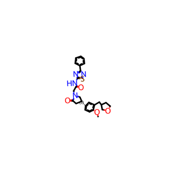 COc1ccc([C@@H]2CC(=O)N(CC(=O)Nc3nc(-c4ccccc4)ns3)C2)cc1CC1CCOC1